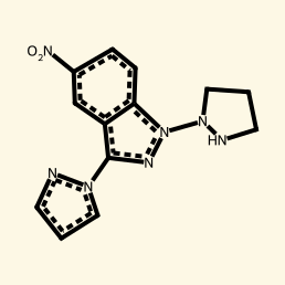 O=[N+]([O-])c1ccc2c(c1)c(-n1cccn1)nn2N1CCCN1